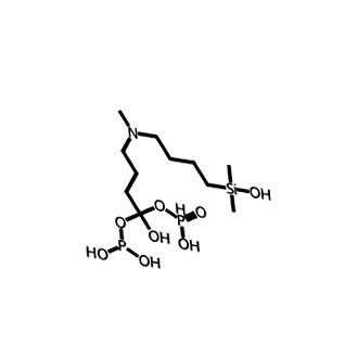 CN(CCCC[Si](C)(C)O)CCCC(O)(OP(O)O)O[PH](=O)O